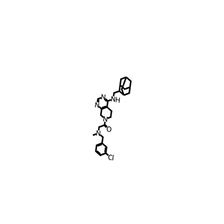 CN(CC(=O)N1CCc2c(ncnc2NCC2C3CC4CC(C3)CC2C4)C1)Cc1cccc(Cl)c1